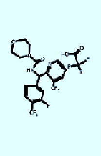 O=C(NC(c1ccc(C(F)(F)F)c(F)c1)c1ncccc1C(F)(F)F)N1CCOCC1.O=C(O)C(F)(F)F